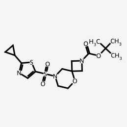 CC(C)(C)OC(=O)N1CC2(C1)CN(S(=O)(=O)c1cnc(C3CC3)s1)CCO2